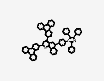 c1ccc(-c2nc(-c3ccccc3)n(-c3ccc(-c4cc5c(-c6ccc7c8ccccc8c8ccccc8c7c6)cc(-c6ccc7c8ccccc8c8ccccc8c7c6)nc5c5ccccc45)cc3)c2-c2ccccc2)cc1